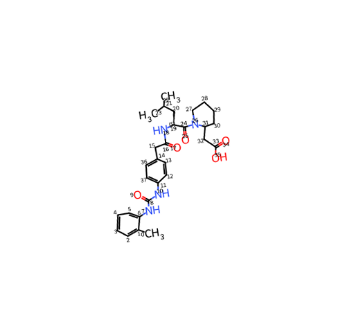 Cc1ccccc1NC(=O)Nc1ccc(CC(=O)N[C@@H](CC(C)C)C(=O)N2CCCCC2CC(=O)O)cc1